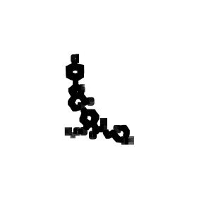 COc1cc(N2CCc3cc(-c4ccc(Cl)cc4)sc3C2=O)ccc1C(=O)NCC1CNCCO1